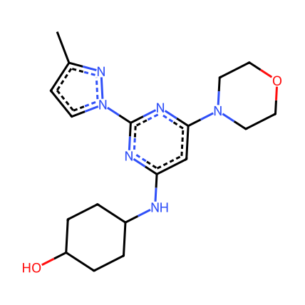 Cc1ccn(-c2nc(NC3CCC(O)CC3)cc(N3CCOCC3)n2)n1